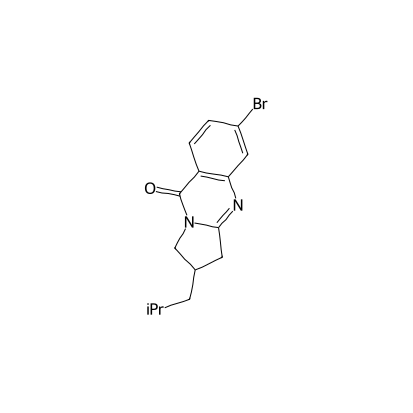 CC(C)CC1Cc2nc3cc(Br)ccc3c(=O)n2C1